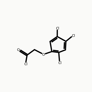 O=C(Cl)COc1cc(Cl)c(Cl)cc1Cl